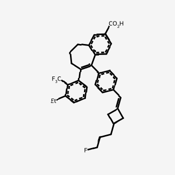 CCc1cccc(C2=C(c3ccc(C=C4CC(CCCF)C4)cc3)c3ccc(C(=O)O)cc3CCC2)c1C(F)(F)F